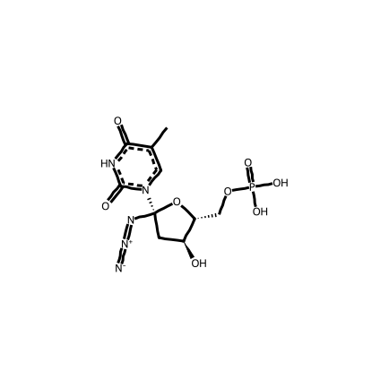 Cc1cn([C@@]2(N=[N+]=[N-])C[C@H](O)[C@@H](COP(=O)(O)O)O2)c(=O)[nH]c1=O